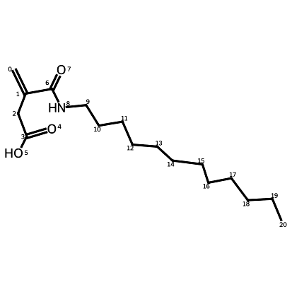 C=C(CC(=O)O)C(=O)NCCCCCCCCCCCC